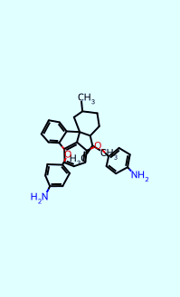 CC1CCC(C(C)C)C(c2ccccc2Oc2ccc(N)cc2)(c2ccccc2Oc2ccc(N)cc2)C1